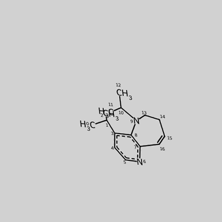 CC(C)c1ccnc2c1N(C(C)C)CCC=C2